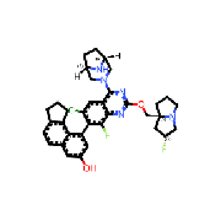 Oc1cc(-c2c(Cl)cc3c(N4C[C@H]5CC[C@@H](C4)N5)nc(OC[C@@]45CCCN4C[C@H](F)C5)nc3c2F)c2c3c(ccc2c1)CCC3